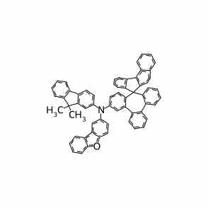 CC1(C)c2ccccc2-c2ccc(N(c3ccc4c(c3)-c3ccccc3-c3ccccc3C43c4ccccc4-c4c3ccc3ccccc43)c3ccc4oc5ccccc5c4c3)cc21